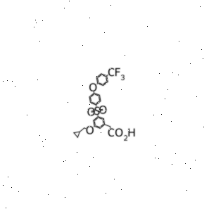 O=C(O)Cc1cc(OCC2CC2)cc(S(=O)(=O)c2ccc(Oc3ccc(C(F)(F)F)cc3)cc2)c1